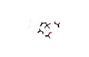 C=C(C)C(=O)OCC(COC(=O)C(=C)C)(COC(=O)C(=C)C)C/C(=C/C(=O)O)C(=O)O